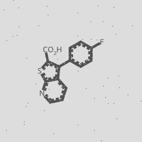 O=C(O)c1sc2ncccc2c1-c1ccc(F)cc1